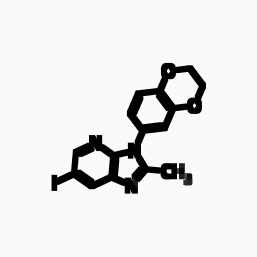 Cc1nc2cc(I)cnc2n1-c1ccc2c(c1)OCCO2